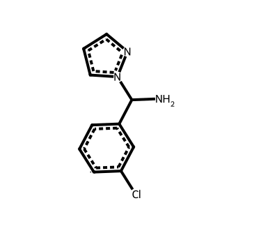 NC(c1cc[c]c(Cl)c1)n1cccn1